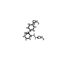 CCCc1cccnc1-c1ccc(C)cc1